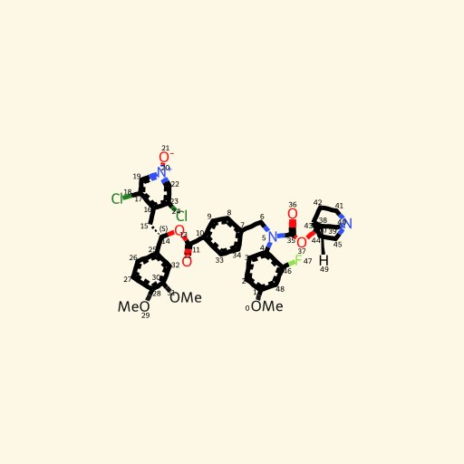 COc1ccc(N(Cc2ccc(C(=O)O[C@@H](Cc3c(Cl)c[n+]([O-])cc3Cl)c3ccc(OC)c(OC)c3)cc2)C(=O)O[C@H]2CN3CCC2CC3)c(F)c1